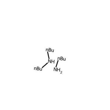 CCCCN.CCCCNCCCC